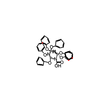 O=C(O)N1P(Oc2ccccc2)N(Oc2ccccc2)[PH](Oc2ccccc2)(Oc2ccccc2)N=P1(Oc1ccccc1)Oc1ccccc1